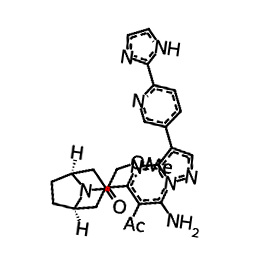 COCC(=O)N1[C@@H]2CC[C@H]1CC(c1nc3c(-c4ccc(-c5ncc[nH]5)nc4)cnn3c(N)c1C(C)=O)C2